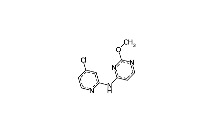 COc1nccc(Nc2cc(Cl)ccn2)n1